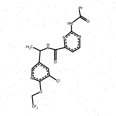 CC(C)C(=O)Nc1nccc(C(=O)NC(C)c2cnc(OCC(F)(F)F)c(Cl)c2)n1